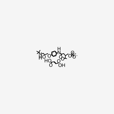 CC(=O)C(CO[N+](=O)[O-])CC(=O)Nc1ccc(OCC(O)CNC(C)(C)C)cc1.O=C(O)/C=C/C(=O)O